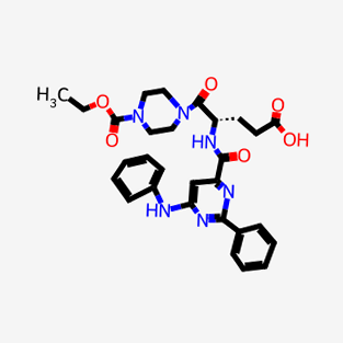 CCOC(=O)N1CCN(C(=O)[C@H](CCC(=O)O)NC(=O)c2cc(Nc3ccccc3)nc(-c3ccccc3)n2)CC1